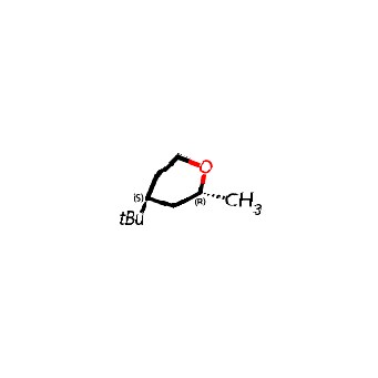 C[C@@H]1C[C@@H](C(C)(C)C)CCO1